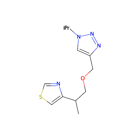 CC(COCc1cn(C(C)C)nn1)c1cscn1